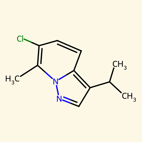 Cc1c(Cl)ccc2c(C(C)C)cnn12